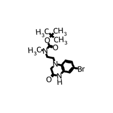 CN(CCN1CC(=O)Nc2cc(Br)ccc21)C(=O)OC(C)(C)C